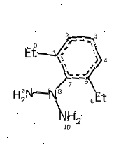 CCc1cccc(CC)c1N(N)N